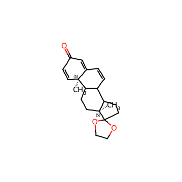 C[C@]12C=CC(=O)C=C1C=CC1C2CC[C@@]2(C)C1CCC21OCCO1